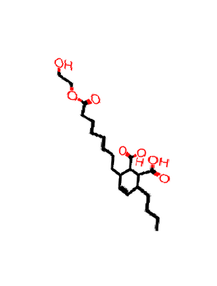 CCCCC1C=CC(CCCCCCCC(=O)OCCO)C(C(=O)O)C1C(=O)O